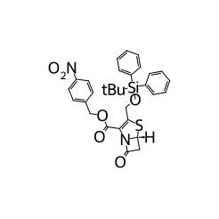 CC(C)(C)[Si](OCC1=C(C(=O)OCc2ccc([N+](=O)[O-])cc2)N2C(=O)C[C@H]2S1)(c1ccccc1)c1ccccc1